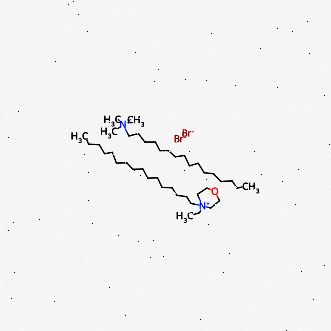 CCCCCCCCCCCCCCCC[N+](C)(C)C.CCCCCCCCCCCCCCCC[N+]1(CC)CCOCC1.[Br-].[Br-]